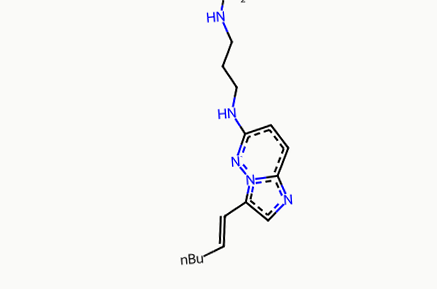 CCCCC=Cc1cnc2ccc(NCCCNC(=O)O)nn12